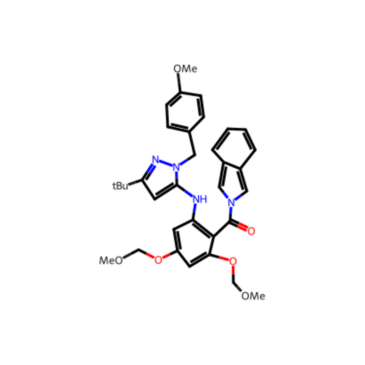 COCOc1cc(Nc2cc(C(C)(C)C)nn2Cc2ccc(OC)cc2)c(C(=O)n2cc3ccccc3c2)c(OCOC)c1